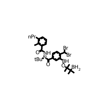 BC(C)(C)C(C)(C)OBc1cc(C(=O)N(NC(=O)c2cccc(CCC)c2C)C(C)(C)C)ccc1C(Br)Br